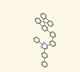 c1ccc(-c2ccc(-c3cc(-c4cccc(-c5cccc(-c6ccc7c(c6)C6(c8ccccc8-c8ccccc86)c6ccccc6-7)c5)c4)nc(-c4ccccc4)n3)cc2)cc1